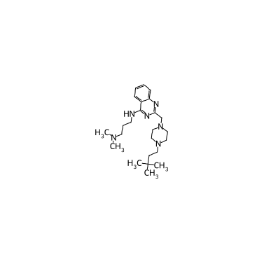 CN(C)CCCNc1nc(CN2CCN(CCC(C)(C)C)CC2)nc2ccccc12